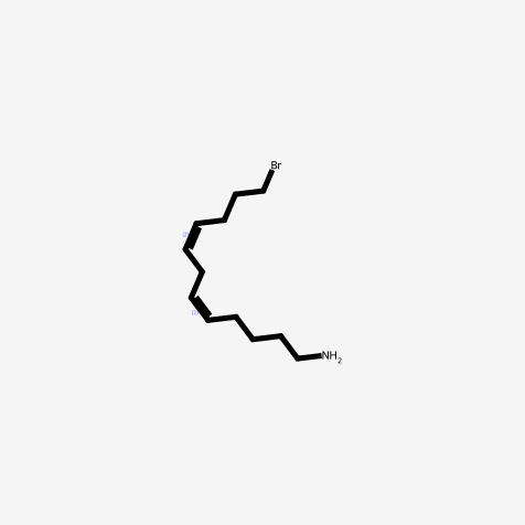 NCCCC/C=C\C/C=C\CCCBr